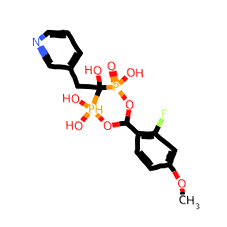 COc1ccc(C2OP(=O)(O)C(O)(Cc3cccnc3)[PH](O)(O)O2)c(F)c1